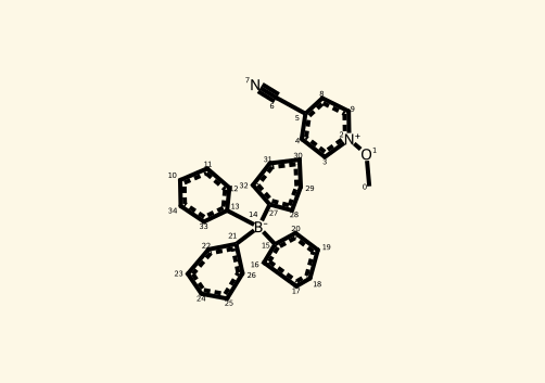 CO[n+]1ccc(C#N)cc1.c1ccc([B-](c2ccccc2)(c2ccccc2)c2ccccc2)cc1